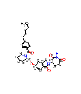 CCCCCc1ccc(C(=O)N2CCCCC2COc2ccc3c(c2)CN(C2CCC(=O)NC2=O)C3=O)cc1